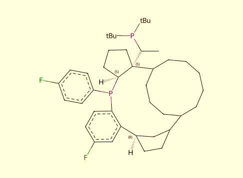 CC(P(C(C)(C)C)C(C)(C)C)[C@@]12CCC[C@@H]1P(c1ccc(F)cc1)c1ccc(F)cc1[C@@H]1CCC(C1)C1CCCCCC2CCC1